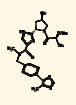 CC(=O)N[C@H](C(=O)N1C[C@H](O)C[C@H]1c1nc(C(=O)N(C)Cc2ccc(-c3scnc3C)cc2)c[nH]1)C(C)(C)C